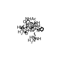 CC(=O)N[C@@H](CCCNC(=N)N)C(=O)N[C@@H](Cc1cnc[nH]1)C(=O)N[C@@H](CCC(N)=O)C(=O)N[C@@H](CCCNC(=N)N)C(=O)c1nc2ccccc2s1